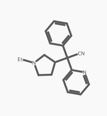 CCN1CCC(C(C#N)(c2ccccc2)c2ccccn2)C1